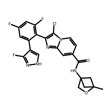 CC12CC(NC(=O)c3ccn4c(Cl)c(-c5c(F)cc(F)cc5-c5c[nH]nc5F)nc4c3)(CO1)C2